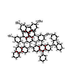 CC(C)(C)c1cc(-c2ccccc2)c(N2c3cc(-c4ccccc4)ccc3B3c4ccc(N(c5ccccc5)c5ccc(-n6c7ccccc7c7ccccc76)cc5)cc4N(c4c(-c5ccccc5)cc(C(C)(C)C)cc4-c4ccccc4)c4cc(-n5c6ccc(C(C)(C)C)cc6c6cc(C(C)(C)C)ccc65)cc2c43)c(-c2ccccc2)c1